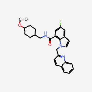 O=COC1CCC(CNC(=O)c2cc(F)cc3ccn(Cc4ccc5ccccc5n4)c23)CC1